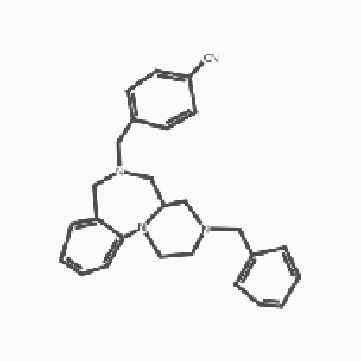 N#Cc1ccc(CN2Cc3ccccc3N3CCN(Cc4ccccc4)CC3C2)cc1